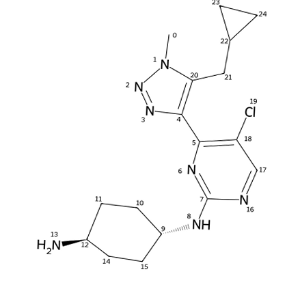 Cn1nnc(-c2nc(N[C@H]3CC[C@H](N)CC3)ncc2Cl)c1CC1CC1